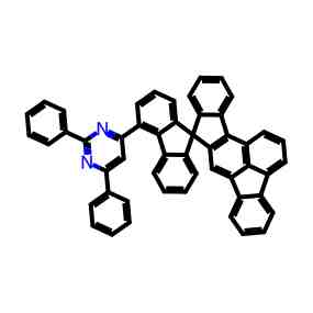 c1ccc(-c2cc(-c3cccc4c3-c3ccccc3C43c4ccccc4-c4c3cc3c5c(cccc45)-c4ccccc4-3)nc(-c3ccccc3)n2)cc1